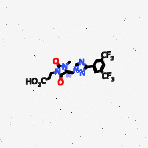 CN1C(=O)N(CCC(=O)O)C(=O)/C1=C/n1cnc(-c2cc(C(F)(F)F)cc(C(F)(F)F)c2)n1